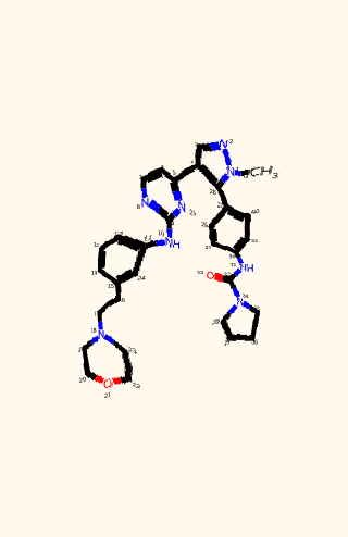 Cn1ncc(-c2ccnc(Nc3cccc(CCN4CCOCC4)c3)n2)c1-c1ccc(NC(=O)N2CCCC2)cc1